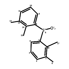 Cc1cccc([S+]([O-])c2cccc(C)c2C)c1C